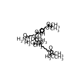 CC(C)C(=O)OCc1ccc(NC(=O)[C@H](CCCNC(N)=O)NC(=O)[C@H](C(C)C)C([SiH3])NC(=O)CCCCCN2C(=O)CC(C(C)(C)C)C2=O)cc1